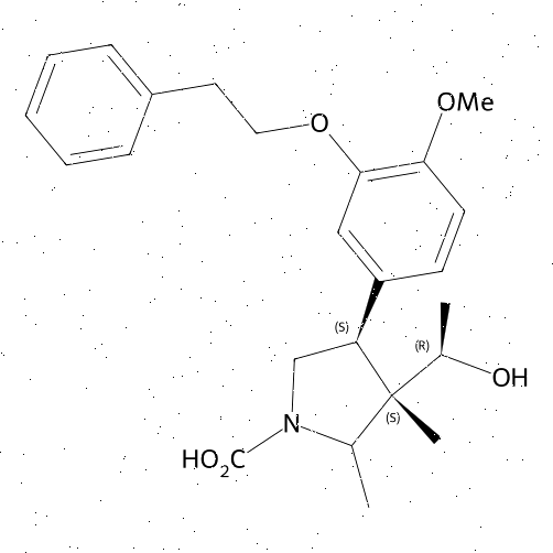 COc1ccc([C@@H]2CN(C(=O)O)C(C)[C@@]2(C)[C@@H](C)O)cc1OCCc1ccccc1